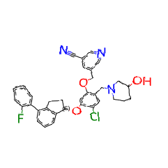 N#Cc1cncc(COc2cc(O[C@H]3CCc4c(-c5ccccc5F)cccc43)c(Cl)cc2CN2CCCC(O)C2)c1